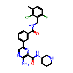 Cc1ccc(F)c(CNC(=O)c2cccc(-c3cnc(N)c(C(=O)N[C@H]4CCCNC4)n3)c2)c1Cl